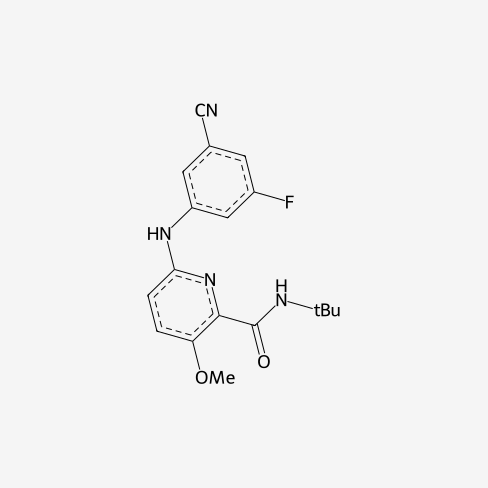 COc1ccc(Nc2cc(F)cc(C#N)c2)nc1C(=O)NC(C)(C)C